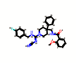 COc1ccccc1C(=O)NCC1(c2ccccc2)CCN(/C(=N/C#N)NCc2ccc(F)cc2)CC1